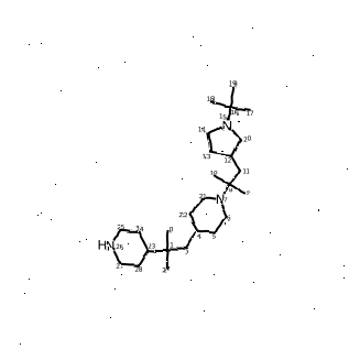 CC(C)(CC1CCN(C(C)(C)CC2CCN(C(C)(C)C)C2)CC1)C1CCNCC1